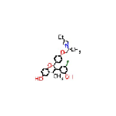 CCC1CN([C@@H](C)COc2ccc(C3Oc4ccc(O)cc4C(C)=C3c3cc(O)cc(F)c3)cc2)C1